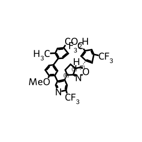 COc1ccc(-c2ccc(C(=O)O)cc2C)cc1-c1cnc(C(F)(F)F)cc1[C@H]1CC[C@H]2C1=NO[C@H]2c1cc(C(F)(F)F)cc(C(F)(F)F)c1